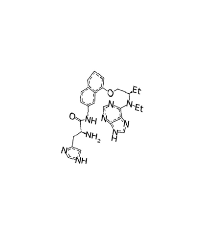 CC[C@H](COc1cccc2ccc(NC(=O)[C@@H](N)Cc3c[nH]cn3)cc12)N(CC)c1ncnc2[nH]cnc12